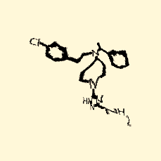 CC(c1ccccc1)N(CCc1ccc(Cl)cc1)C1CCN(c2nc(N)n[nH]2)CC1